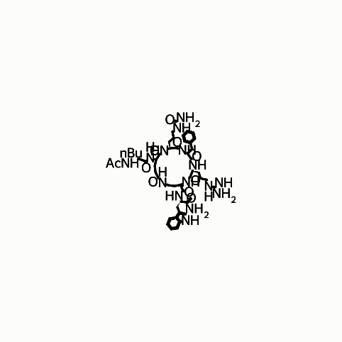 CCCC[C@H](NC(C)=O)C(=O)NC1CCC(=O)NCCC(C(=O)N[C@@H](Cc2c[nH]c3ccccc23)C(N)=O)NC(=O)[C@H](CCCNC(=N)N)NC(=O)C(Cc2ccccc2)NC(=O)[C@H](CCCNC(N)=O)NC1=O